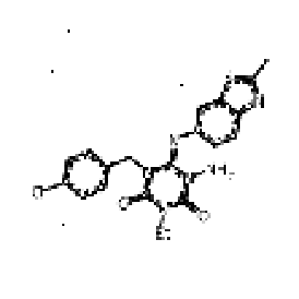 CCn1c(=O)n(N)/c(=N\c2ccc3nc(C)sc3c2)n(Cc2ccc(Cl)cc2)c1=O